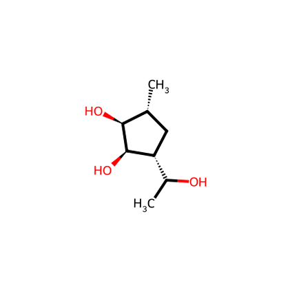 CC(O)[C@H]1C[C@@H](C)[C@H](O)[C@@H]1O